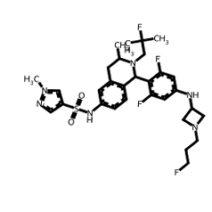 CC1Cc2cc(NS(=O)(=O)c3cnn(C)c3)ccc2C(c2c(F)cc(NC3CN(CCCF)C3)cc2F)N1CC(C)(C)F